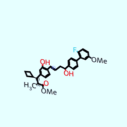 COC(=O)[C@@H](C)[C@H](c1ccc(/C=C/CC(O)c2ccc(-c3cc(OC)ccc3F)cc2)c(O)c1)C1CCC1